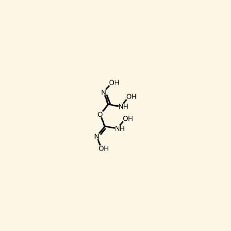 O/N=C(\NO)O/C(=N/O)NO